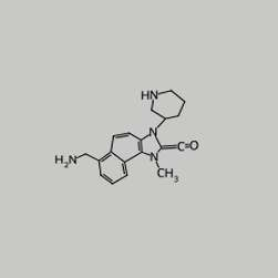 CN1C(=C=O)N(C2CCCNC2)c2ccc3c(CN)cccc3c21